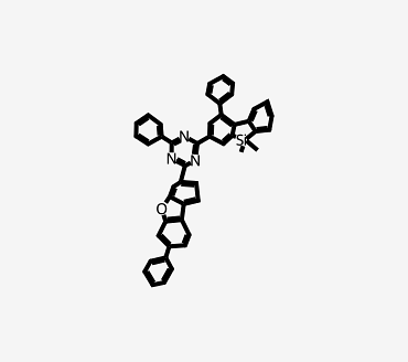 C[Si]1(C)c2ccccc2-c2c(-c3ccccc3)cc(-c3nc(-c4ccccc4)nc(-c4ccc5c(c4)oc4cc(-c6ccccc6)ccc45)n3)cc21